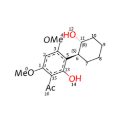 COc1cc(OC)c([C@@H]2CCCC[C@H]2O)c(O)c1C(C)=O